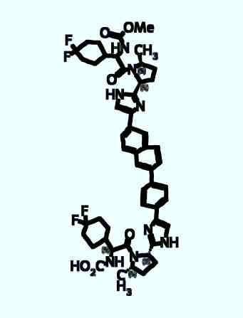 COC(=O)NC(C(=O)N1[C@@H](C)CC[C@H]1c1nc(-c2ccc3cc(-c4ccc(-c5c[nH]c([C@@H]6CC[C@H](C)N6C(=O)[C@@H](NC(=O)O)C6CCC(F)(F)CC6)n5)cc4)ccc3c2)c[nH]1)C1CCC(F)(F)CC1